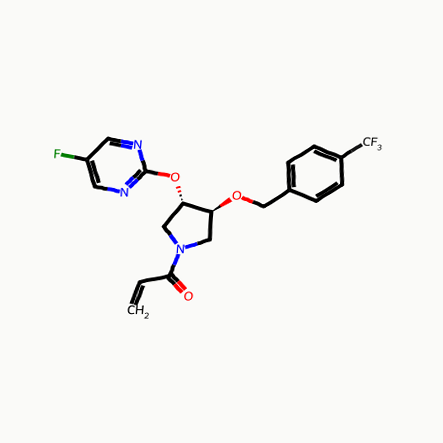 C=CC(=O)N1C[C@H](OCc2ccc(C(F)(F)F)cc2)[C@@H](Oc2ncc(F)cn2)C1